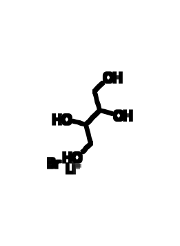 OCC(O)C(O)CO.[Br-].[Li+]